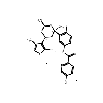 Cc1noc(C)c1[C@@H]1C[C@](C)(c2cc(NC(=O)c3ccc(Cl)cn3)ccc2F)N=C(N)S1